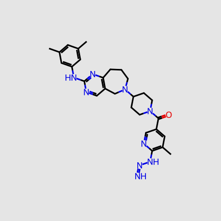 Cc1cc(C)cc(Nc2ncc3c(n2)CCCN(C2CCN(C(=O)c4cnc(NN=N)c(C)c4)CC2)C3)c1